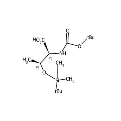 C[C@H](O[Si](C)(C)C(C)(C)C)[C@H](NC(=O)OC(C)(C)C)C(=O)O